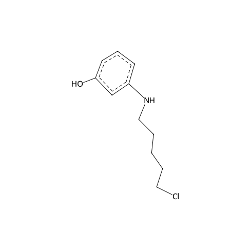 Oc1cccc(NCCCCCCl)c1